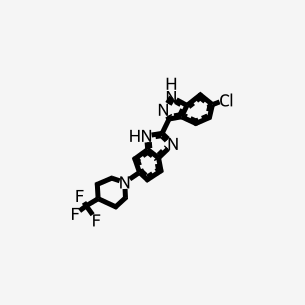 FC(F)(F)C1CCN(c2ccc3nc(-c4n[nH]c5cc(Cl)ccc45)[nH]c3c2)CC1